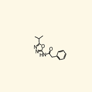 CC(C)c1nnc(NC(=O)Cc2ccccc2)o1